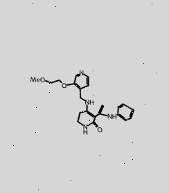 C=C(Nc1ccccc1)C1=C(NCc2ccncc2OCCOC)CCNC1=O